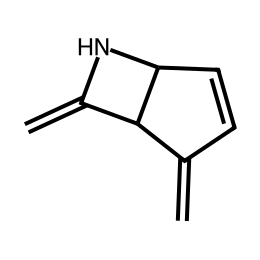 C=C1C=CC2NC(=C)C12